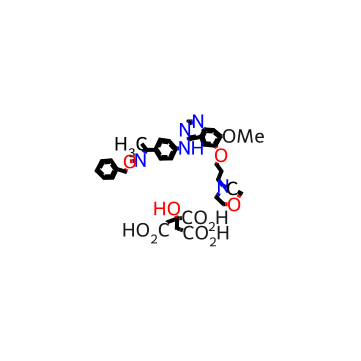 COc1cc2ncnc(Nc3ccc(C(C)=NOCc4ccccc4)cc3)c2cc1OCCCN1CCOCC1.O=C(O)CC(O)(CC(=O)O)C(=O)O